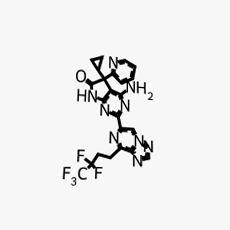 Nc1nc(-c2cn3ncnc3c(CCC(F)(F)C(F)(F)F)n2)nc2c1C(c1ccccn1)(C1CC1)C(=O)N2